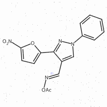 CC(=O)O/N=C/c1cn(-c2ccccc2)nc1-c1ccc([N+](=O)[O-])o1